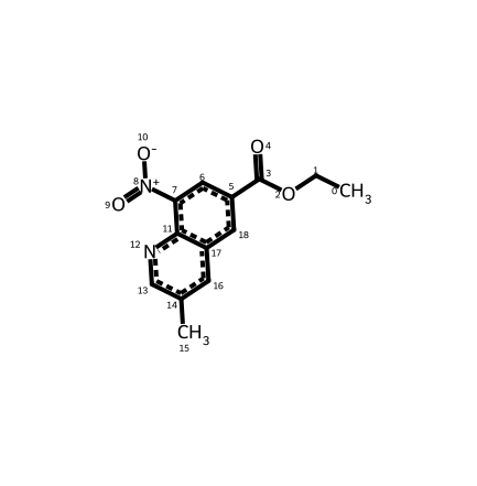 CCOC(=O)c1cc([N+](=O)[O-])c2ncc(C)cc2c1